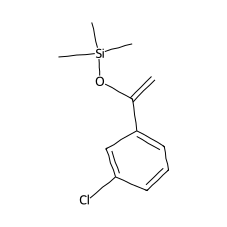 C=C(O[Si](C)(C)C)c1cccc(Cl)c1